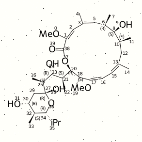 COC1=CC(C)=C[C@@H](C)[C@@H](O)[C@@H](C)CC(C)=CC=C[C@H](OC)[C@@H]([C@@H](C)[C@@H](O)[C@H](C)[C@@]2(O)C[C@@H](O)[C@H](C)[C@@H](C(C)C)O2)OC1=O